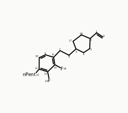 C=CC1CCC(CCc2ccc(CCCCC)c(F)c2F)CC1